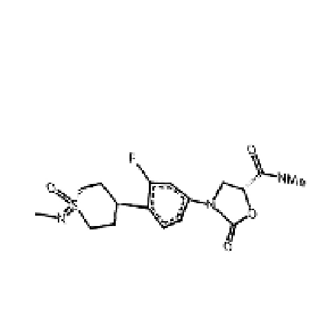 CN=[S@]1(=O)CC[C@@H](c2ccc(N3C[C@H](C(=O)NC)OC3=O)cc2F)CC1